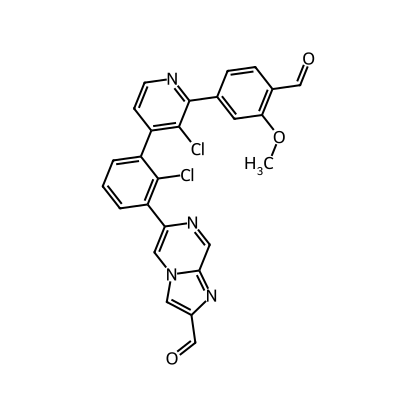 COc1cc(-c2nccc(-c3cccc(-c4cn5cc(C=O)nc5cn4)c3Cl)c2Cl)ccc1C=O